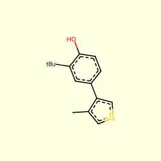 Cc1cscc1-c1ccc(O)c(C(C)(C)C)c1